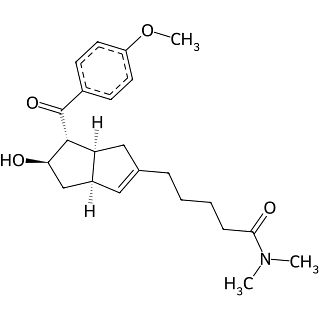 COc1ccc(C(=O)[C@@H]2[C@H]3CC(CCCCC(=O)N(C)C)=C[C@H]3C[C@H]2O)cc1